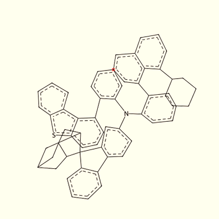 c1ccc(N(c2ccc3c(c2)C2(c4ccccc4-3)C3CC4CC(C3)C2C4)c2ccccc2-c2cccc3sc4ccccc4c23)c(-c2cccc3cccc(C4CCCCC4)c23)c1